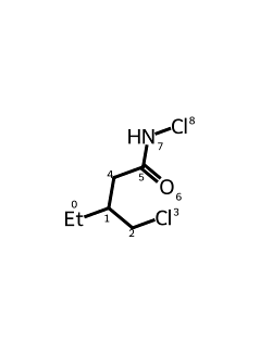 CCC(CCl)CC(=O)NCl